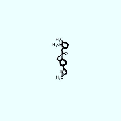 Cc1cccc(CC(=O)N2CCc3cc(-c4ccn(C)n4)ccc32)c1C